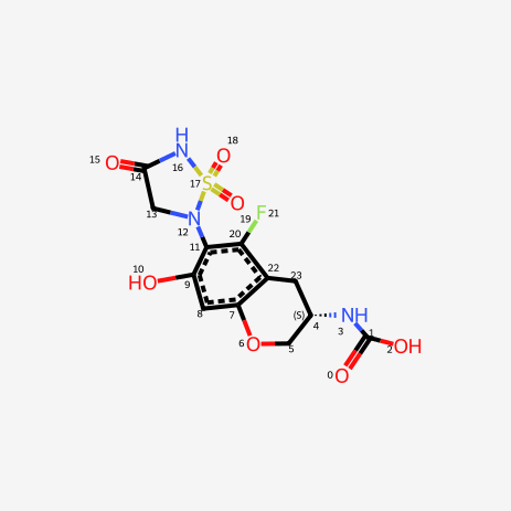 O=C(O)N[C@@H]1COc2cc(O)c(N3CC(=O)NS3(=O)=O)c(F)c2C1